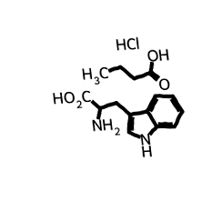 CCCC(=O)O.Cl.NC(Cc1c[nH]c2ccccc12)C(=O)O